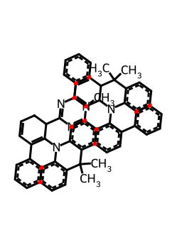 CN1C(c2cccc(-c3ccccc3)c2N2c3ccccc3C(C)(C)C3C=CC=CC32)=NC(C2CC=CC(c3ccccc3)=C2N2c3ccccc3C(C)(C)c3ccccc32)=NC1c1ccccc1